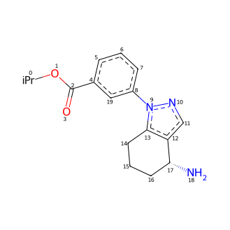 CC(C)OC(=O)c1cccc(-n2ncc3c2CCC[C@H]3N)c1